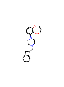 C1=COc2cccc(N3CCN(C[C@@H]4Cc5ccccc54)CC3)c2OC1